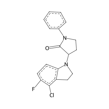 O=C1C(N2CCc3c2ccc(F)c3Cl)CCN1c1ccccc1